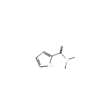 CN(C)C(=O)c1ccc[pH]1